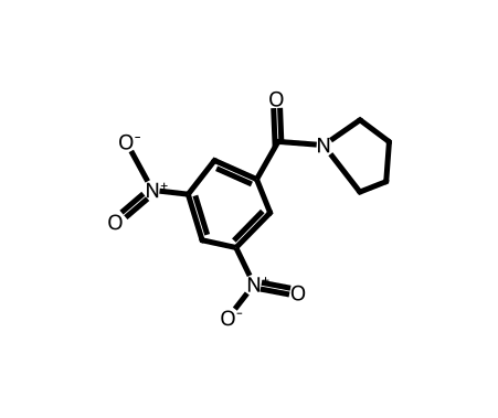 O=C(c1cc([N+](=O)[O-])cc([N+](=O)[O-])c1)N1CCCC1